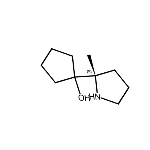 C[C@@]1(C2(O)CCCC2)CCCN1